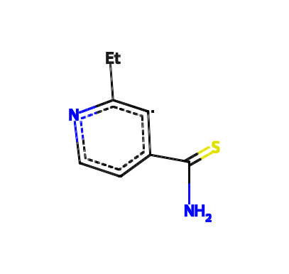 CCc1[c]c(C(N)=S)ccn1